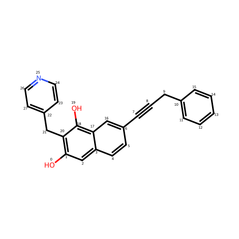 Oc1cc2ccc(C#CCc3ccccc3)cc2c(O)c1Cc1ccncc1